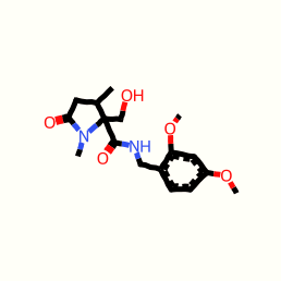 COc1ccc(CNC(=O)C2(CO)C(C)CC(=O)N2C)c(OC)c1